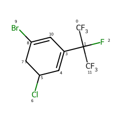 FC(F)(F)C(F)(C1=CC(Cl)[CH]C(Br)=C1)C(F)(F)F